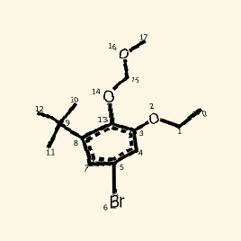 CCOc1cc(Br)cc(C(C)(C)C)c1OCOC